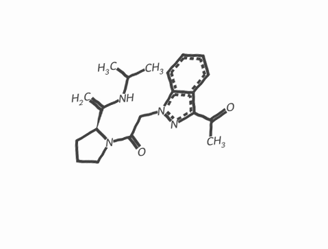 C=C(NC(C)C)[C@@H]1CCCN1C(=O)Cn1nc(C(C)=O)c2ccccc21